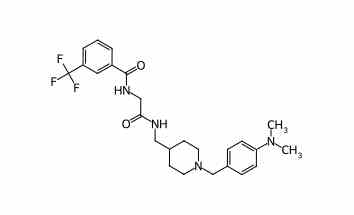 CN(C)c1ccc(CN2CCC(CNC(=O)CNC(=O)c3cccc(C(F)(F)F)c3)CC2)cc1